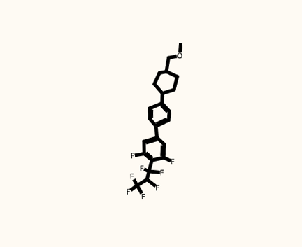 COCC1CCC(c2ccc(-c3cc(F)c(C(F)(F)C(F)C(F)(F)F)c(F)c3)cc2)CC1